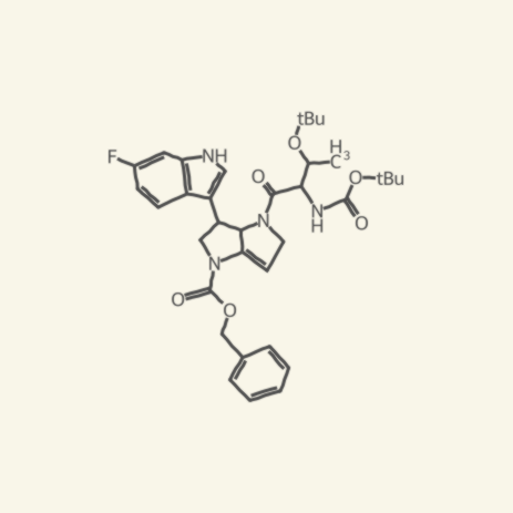 CC(OC(C)(C)C)C(NC(=O)OC(C)(C)C)C(=O)N1CC=C2C1C(c1c[nH]c3cc(F)ccc13)CN2C(=O)OCc1ccccc1